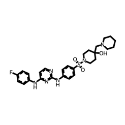 O=S(=O)(c1ccc(Nc2nccc(Nc3ccc(F)cc3)n2)cc1)N1CCC(O)(CN2CCCCC2)CC1